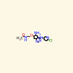 CC(=O)NCCOc1cc2ncnc(Nc3ccc(Cl)nc3)c2cc1N